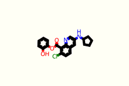 O=C(Oc1ccccc1O)c1c(Cl)ccc2cc(NC3CCCC3)cnc12